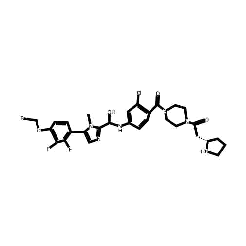 Cn1c(-c2ccc(OCF)c(F)c2F)cnc1C(O)Nc1ccc(C(=O)N2CCN(C(=O)C[C@@H]3CCCN3)CC2)c(Cl)c1